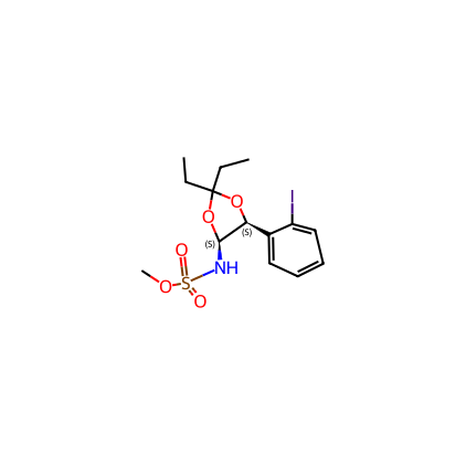 CCC1(CC)O[C@H](NS(=O)(=O)OC)[C@H](c2ccccc2I)O1